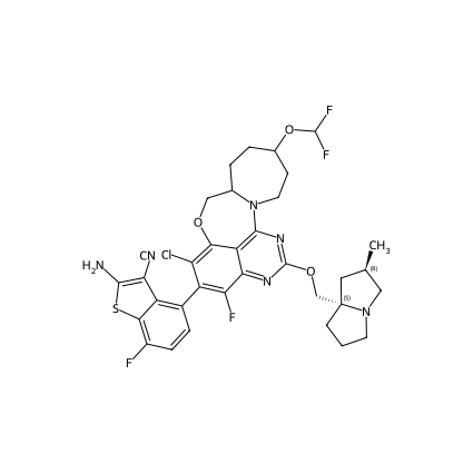 C[C@H]1CN2CCC[C@@]2(COc2nc3c4c(c(Cl)c(-c5ccc(F)c6sc(N)c(C#N)c56)c(F)c4n2)OCC2CCC(OC(F)F)CCN32)C1